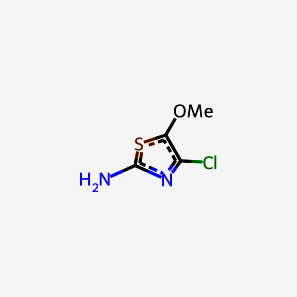 COc1sc(N)nc1Cl